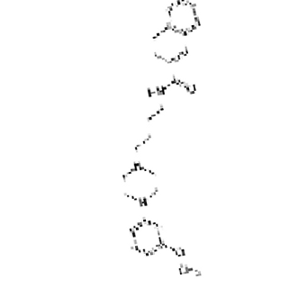 COc1cccc(N2CCN(CCCCNC(=O)C3=Cc4ccccc4CC3)CC2)c1